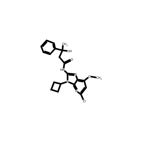 COc1cc(Cl)nc2c1nc(NC(=O)CC(C)(O)c1ccccc1)n2C1CCC1